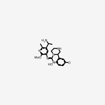 COc1nc(C)c(C(C)N)cc1N=C(NO)N1CCNCC1c1cccc(Cl)c1